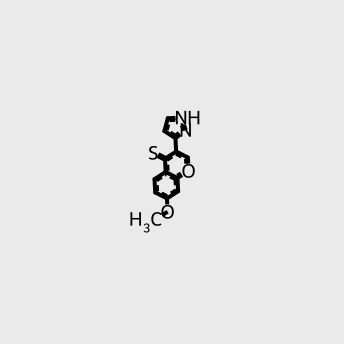 COc1ccc2c(=S)c(-c3cc[nH]n3)coc2c1